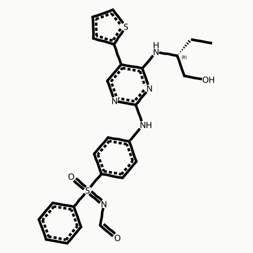 CC[C@H](CO)Nc1nc(Nc2ccc(S(=O)(=NC=O)c3ccccc3)cc2)ncc1-c1cccs1